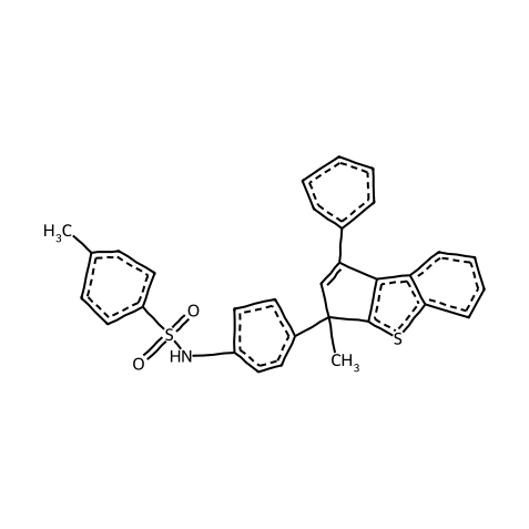 Cc1ccc(S(=O)(=O)Nc2ccc(C3(C)C=C(c4ccccc4)c4c3sc3ccccc43)cc2)cc1